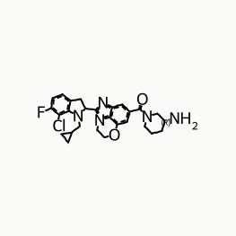 N[C@@H]1CCCN(C(=O)c2cc3c4c(c2)nc(C2Cc5ccc(F)c(Cl)c5N2CC2CC2)n4CCO3)C1